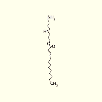 CCCCCCCCCCC=CC(=O)OCCCNCCCCN